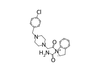 NC(=O)[N+]1(C(=O)CN2CCN(Cc3ccc(Cl)cc3)CC2)[CH]Cc2ccccc21